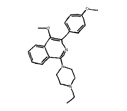 CCN1CCN(c2nc(-c3ccc(OC)cc3)c(OC)c3ccccc23)CC1